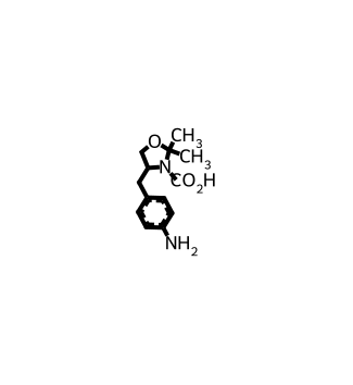 CC1(C)OCC(Cc2ccc(N)cc2)N1C(=O)O